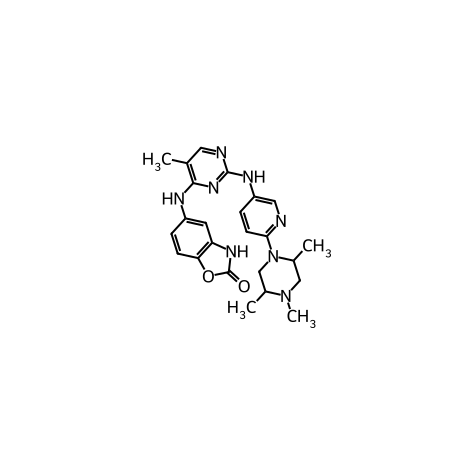 Cc1cnc(Nc2ccc(N3CC(C)N(C)CC3C)nc2)nc1Nc1ccc2oc(=O)[nH]c2c1